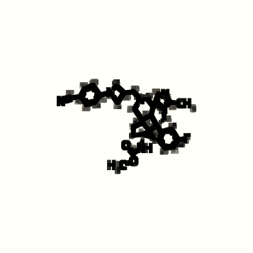 COC(=O)N[C@]12CCC[C@@]1([C@](Cn1ccnc1C)(c1cccc(F)c1)C1CCN(CC3CN(c4ccc(C#N)cc4)C3)CC1)C2